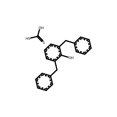 OC(=S)S.Oc1c(Cc2ccccc2)cccc1Cc1ccccc1